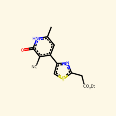 CCOC(=O)Cc1nc(-c2cc(C)[nH]c(=O)c2C#N)cs1